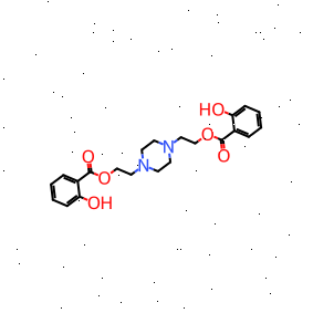 O=C(OCCN1CCN(CCOC(=O)c2ccccc2O)CC1)c1ccccc1O